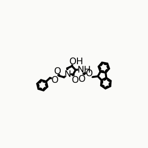 O=C(CN1CC(O)C(NC(=O)OCC2c3ccccc3-c3ccccc32)C1=O)OCc1ccccc1